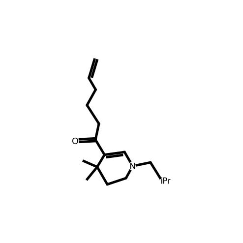 C=CCCCC(=O)C1=CN(CC(C)C)CCC1(C)C